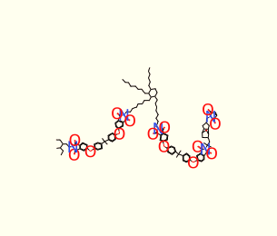 CCCCCCCCC1C(CCCCCC)CCC(CCCCCCCCN2C(=O)c3ccc(Oc4ccc(C(C)(C)c5ccc(Oc6ccc7c(c6)C(=O)N(C(C)(C)CC6CC8CC6C6CC(CN9C(=O)C=CC9=O)CC86)C7=O)cc5)cc4)cc3C2=O)C1CCCCCCCCN1C(=O)c2ccc(Oc3ccc(C(C)(C)c4ccc(Oc5ccc6c(c5)C(=O)N(CCC(CC)C(C)CC)C6=O)cc4)cc3)cc2C1=O